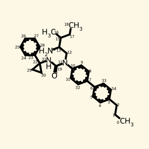 CCCc1ccc(-c2ccc(N(CC(N)C(C)CC)C(=O)NC3(c4ccccc4)CC3)cc2)cc1